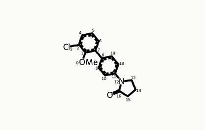 COc1c(Cl)cccc1-c1ccc(N2CCCC2=O)cc1